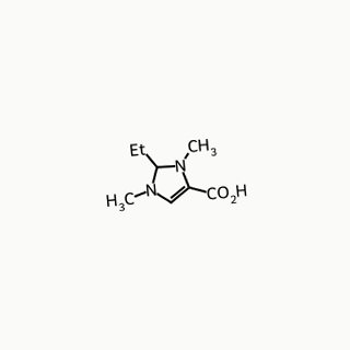 CCC1N(C)C=C(C(=O)O)N1C